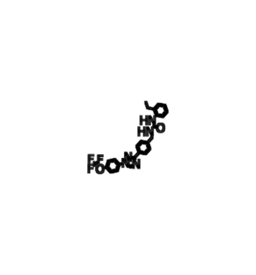 CCc1ccccc1NC(=O)NCc1ccc(-c2ncn(-c3ccc(OC(F)(F)F)cc3)n2)cc1